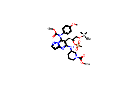 CCOc1ccc(N(C(=O)OC(C)(C)C)c2c(C[C@@H](CO[Si](C)(C)C(C)(C)C)OS(C)(=O)=O)c(NC3CCCN(C(=O)OC(C)(C)C)C3)nc3ccnn23)cc1